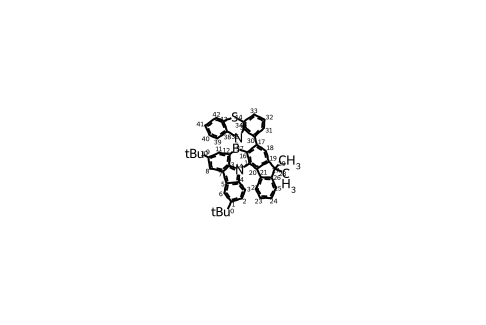 CC(C)(C)c1ccc2c(c1)c1cc(C(C)(C)C)cc3c1n2-c1c2c(cc4c1-c1ccccc1C4(C)C)-c1cccc4c1N(B23)c1ccccc1S4